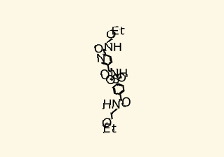 CCOCCCNC(=O)c1ccc(S(=O)(=O)NC(=O)c2ccc(C(=O)NCCOCC)nc2)cc1